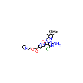 COc1c(C)cnc(CN2C(=O)C(=Cc3cc(C(=O)COCCN4CCCC4)c[nH]3)c3c(Cl)nc(N)nc32)c1C